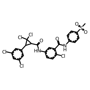 CS(=O)(=O)c1ccc(NC(=O)c2cc(NC(=O)C3C(c4cc(Cl)cc(Cl)c4)C3(Cl)Cl)ccc2Cl)cc1